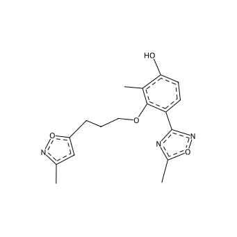 Cc1cc(CCCOc2c(-c3noc(C)n3)ccc(O)c2C)on1